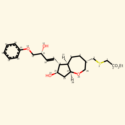 CCOC(=O)CSC[C@H]1CC[C@@H]2[C@@H](/C=C/[C@@H](O)COc3ccccc3)[C@H](O)C[C@@H]2OC1